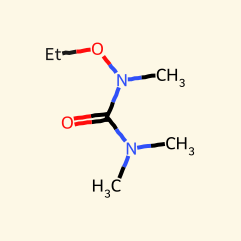 CCON(C)C(=O)N(C)C